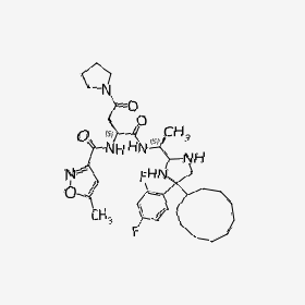 Cc1cc(C(=O)N[C@@H](CC(=O)N2CCCC2)C(=O)N[C@@H](C)C2NCC(c3ccc(F)cc3F)(C3CCCCCCCCC3)N2)no1